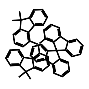 CC1(C)c2ccccc2-c2c(N(c3cccc4c3-c3ccccc3C4(C)C)c3cccc4c3C3(c5ccccc5-c5ccccc53)c3ccccc3-4)cccc21